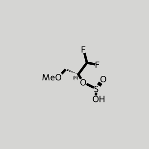 COC[C@@H](OS(=O)O)C(F)F